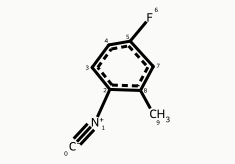 [C-]#[N+]c1ccc(F)cc1C